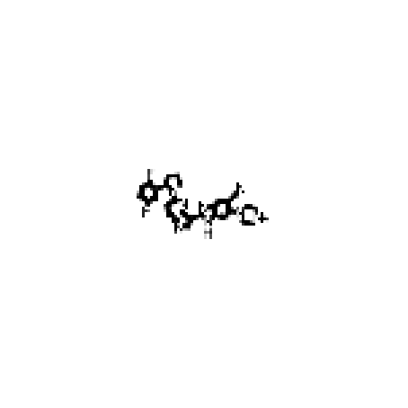 CN1CCN(c2cc3[nH]c(-c4cnn5ccc(N6CCCC6c6cc(F)ccc6F)nc45)nc3cc2C#N)CC1